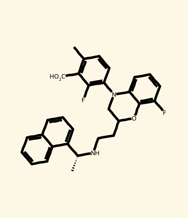 Cc1ccc(N2CC(CCN[C@H](C)c3cccc4ccccc34)Oc3c(F)cccc32)c(F)c1C(=O)O